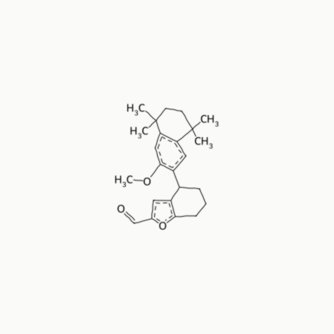 COc1cc2c(cc1C1CCCc3oc(C=O)cc31)C(C)(C)CCC2(C)C